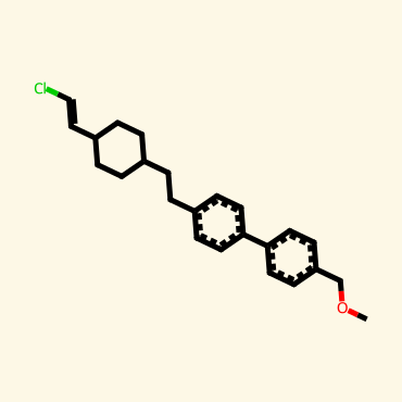 COCc1ccc(-c2ccc(CCC3CCC(/C=C/Cl)CC3)cc2)cc1